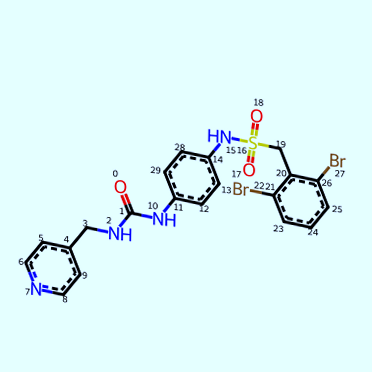 O=C(NCc1ccncc1)Nc1ccc(NS(=O)(=O)Cc2c(Br)cccc2Br)cc1